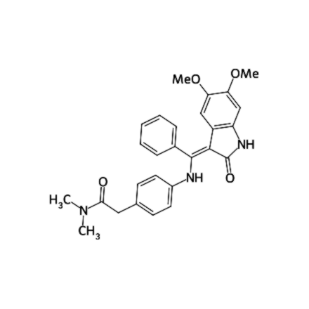 COc1cc2c(cc1OC)/C(=C(/Nc1ccc(CC(=O)N(C)C)cc1)c1ccccc1)C(=O)N2